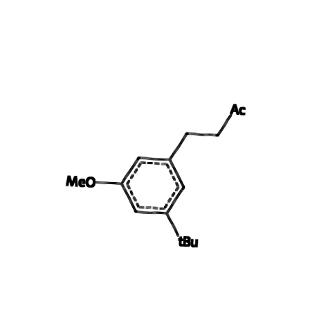 COc1cc(CCC(C)=O)cc(C(C)(C)C)c1